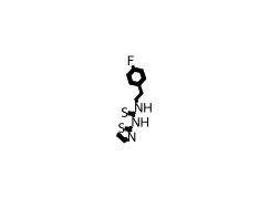 Fc1ccc(CCNC(=S)Nc2nccs2)cc1